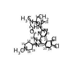 C=CC(=O)N(C)CCOCCn1c(C2CCN(C)CC2)nc(-c2ccc(Cl)c(Cl)c2)c1-c1ccnc(NC2CC2)n1